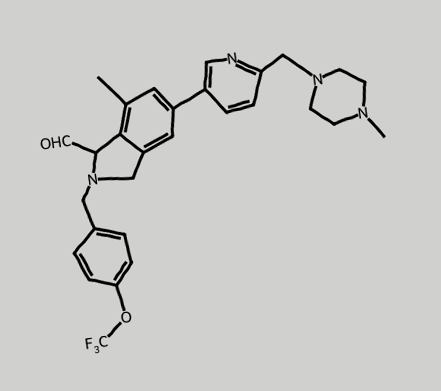 Cc1cc(-c2ccc(CN3CCN(C)CC3)nc2)cc2c1C(C=O)N(Cc1ccc(OC(F)(F)F)cc1)C2